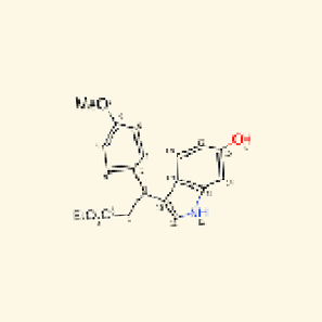 CCOC(=O)CC(c1ccc(OC)cc1)c1c[nH]c2cc(O)ccc12